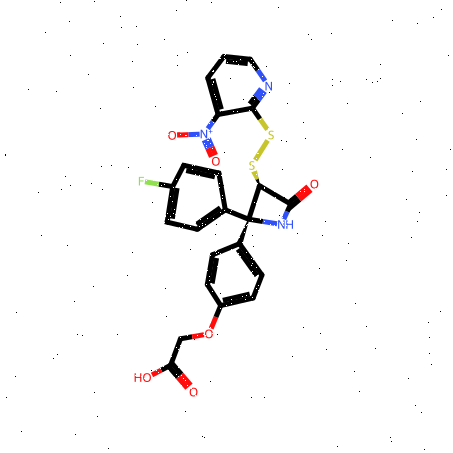 O=C(O)COc1ccc([C@]2(c3ccc(F)cc3)NC(=O)[C@@H]2SSc2ncccc2[N+](=O)[O-])cc1